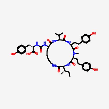 CC[C@H](C)[C@@H]1NC(=O)[C@H](CCc2ccc(O)cc2)N(C)C(=O)[C@H](CCc2ccc(O)cc2)NC(=O)[C@H](C(C)C)NC(=O)[C@H](NC(=O)N[C@@H](Cc2ccc(O)cc2)C(=O)O)CCCCNC1=O